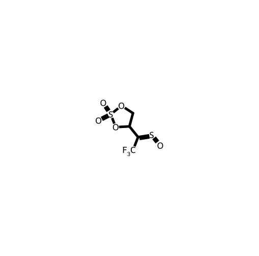 O=S=C(C1COS(=O)(=O)O1)C(F)(F)F